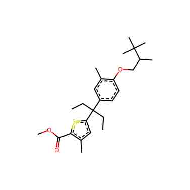 CCC(CC)(c1ccc(OCC(C)C(C)(C)C)c(C)c1)c1cc(C)c(C(=O)OC)s1